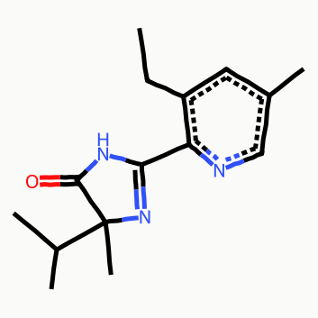 CCc1cc(C)cnc1C1=NC(C)(C(C)C)C(=O)N1